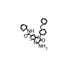 Nc1nc2sc(C(=O)Nc3ccccc3)cc2n(-c2cccc(Cc3ccccc3)c2)c1=O